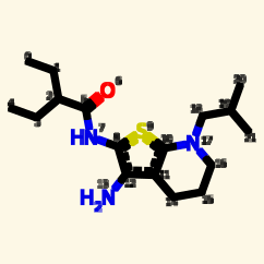 CCC(CC)C(=O)Nc1sc2c(c1N)CCCN2CC(C)C